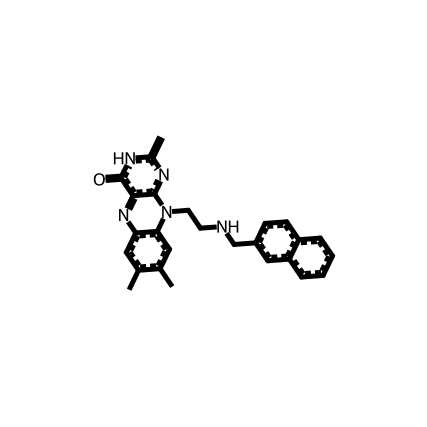 C=c1nc2c(c(=O)[nH]1)=Nc1cc(C)c(C)cc1N2CCNCc1ccc2ccccc2c1